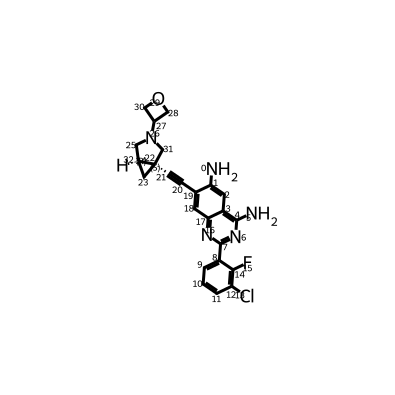 Nc1cc2c(N)nc(-c3cccc(Cl)c3F)nc2cc1C#C[C@]12C[C@H]1CN(C1COC1)C2